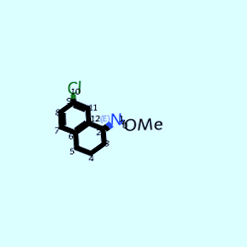 CO/N=C1\CCCc2ccc(Cl)cc21